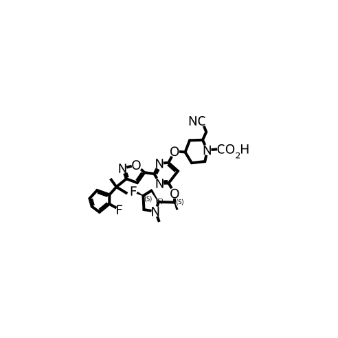 C[C@H](Oc1cc(OC2CCN(C(=O)O)C(CC#N)C2)nc(-c2cc(C(C)(C)c3ccccc3F)no2)n1)[C@@H]1C[C@H](F)CN1C